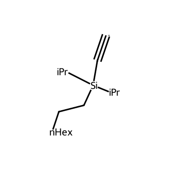 [C]#C[Si](CCCCCCCC)(C(C)C)C(C)C